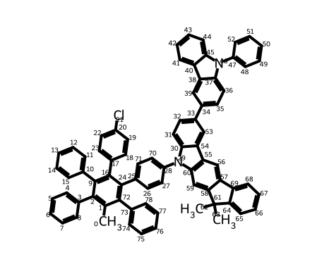 Cc1c(-c2ccccc2)c(-c2ccccc2)c(-c2ccc(Cl)cc2)c(-c2ccc(-n3c4ccc(-c5ccc6c(c5)c5ccccc5n6-c5ccccc5)cc4c4cc5c(cc43)C(C)(C)c3ccccc3-5)cc2)c1-c1ccccc1